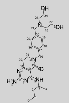 CCCC(C)Nc1nc(N)nc2c1C(=O)N(Cc1ccc(CN(CCO)CCO)cc1)CC2